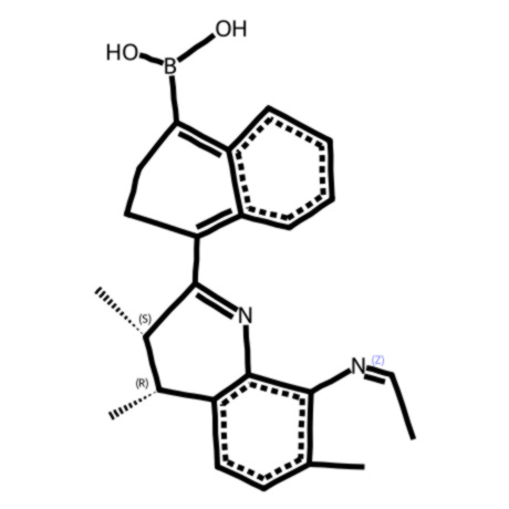 C/C=N\c1c(C)ccc2c1N=C(C1=c3ccccc3=C(B(O)O)CC1)[C@@H](C)[C@H]2C